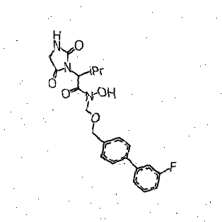 CC(C)C(C(=O)N(O)COCc1ccc(-c2cccc(F)c2)cc1)N1C(=O)CNC1=O